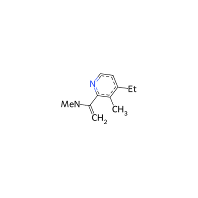 C=C(NC)c1nccc(CC)c1C